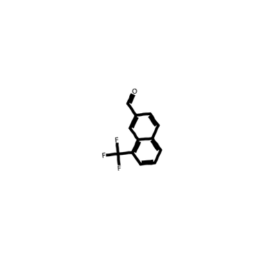 O=Cc1ccc2cccc(C(F)(F)F)c2c1